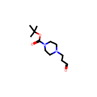 CC(C)(C)OC(=O)N1CCN(CCC=O)CC1